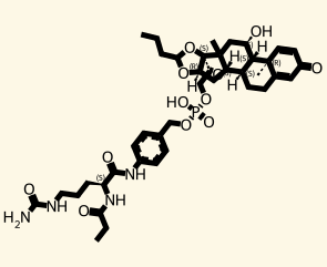 CCCC1O[C@@H]2C[C@H]3[C@@H]4CCC5=CC(=O)C=C[C@]5(C)[C@H]4[C@@H](O)CC3(C)[C@]2(C(=O)COP(=O)(O)OCc2ccc(NC(=O)[C@H](CCCNC(N)=O)NC(=O)CC)cc2)O1